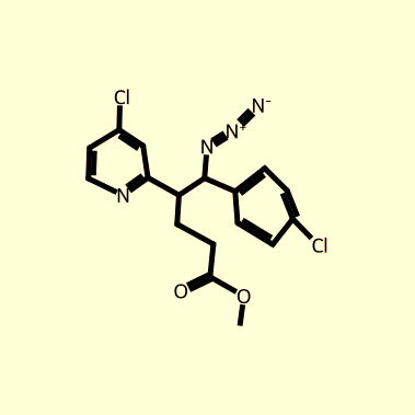 COC(=O)CCC(c1cc(Cl)ccn1)C(N=[N+]=[N-])c1ccc(Cl)cc1